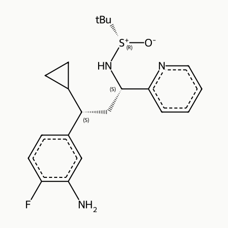 CC(C)(C)[S@+]([O-])N[C@@H](C[C@H](c1ccc(F)c(N)c1)C1CC1)c1ccccn1